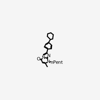 CCCCCn1c(C)cc(=O)n2cc(-c3ccc(C4CCCCC4)cc3)nc12